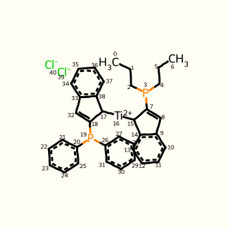 CCCP(CCC)C1=Cc2ccccc2[CH]1[Ti+2][CH]1C(P(c2ccccc2)c2ccccc2)=Cc2ccccc21.[Cl-].[Cl-]